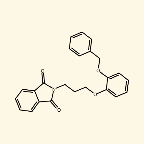 O=C1c2ccccc2C(=O)N1CCCOc1ccccc1OCc1ccccc1